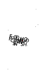 COC(=O)C1=C(CN2CCN3C(S)N(CC(C)(C)C(=O)O)C[C@@H]3C2)NC(c2nccs2)=CC1c1ccc(F)c(F)c1Cl